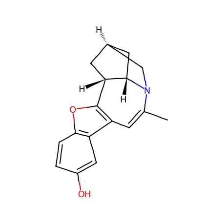 CC1=Cc2c(oc3ccc(O)cc23)[C@@H]2C[C@H]3C[C@@H]2N1C3